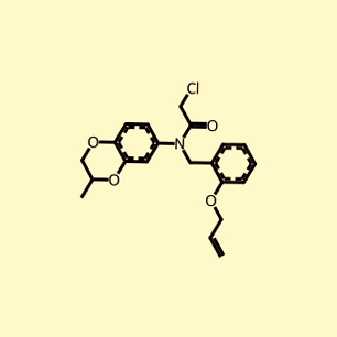 C=CCOc1ccccc1CN(C(=O)CCl)c1ccc2c(c1)OC(C)CO2